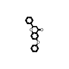 O=C1CC(c2ccccc2)Oc2ccc(Oc3ccccc3)cc21